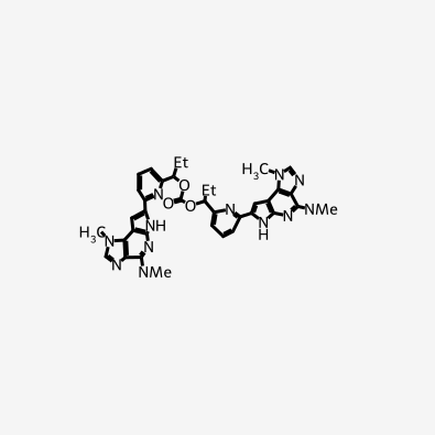 CCC(OC(=O)OC(CC)c1cccc(-c2cc3c(nc(NC)c4ncn(C)c43)[nH]2)n1)c1cccc(-c2cc3c(nc(NC)c4ncn(C)c43)[nH]2)n1